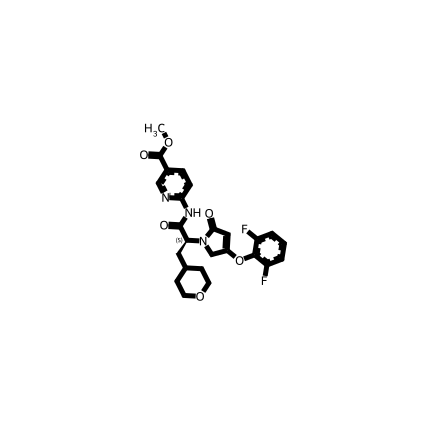 COC(=O)c1ccc(NC(=O)[C@H](CC2CCOCC2)N2CC(Oc3c(F)cccc3F)=CC2=O)nc1